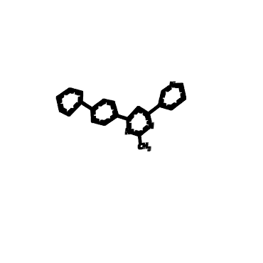 Cc1nc(-c2ccc(-c3ccccc3)cc2)cc(-c2cccnc2)n1